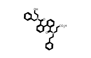 O=C(O)CCN(CCc1ccccc1)C(=O)c1ccccc1-c1ccccc1C(=O)N(CCO)Cc1ccccc1